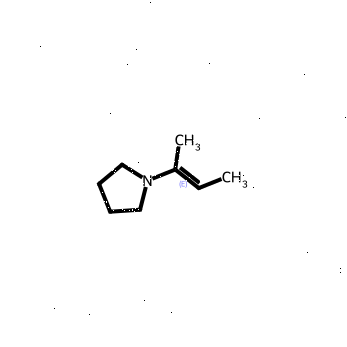 C/C=C(\C)N1CCCC1